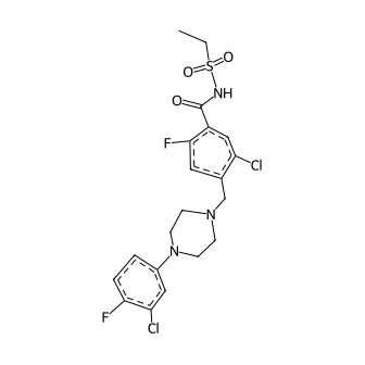 CCS(=O)(=O)NC(=O)c1cc(Cl)c(CN2CCN(c3ccc(F)c(Cl)c3)CC2)cc1F